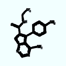 Nc1ncnn2cc(C(=O)NCC(F)(F)F)c(-c3ccc([N+](=O)[O-])cc3)c12